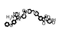 Nc1ncnc2c1c(-c1ccc(Oc3ccccc3)cc1)nn2C1CCCN(C(=O)N2CCC(CN3CCC(c4ccc5c(c4)C(=O)N(C4CCC(=O)NC4=O)C5=O)CC3)CC2)C1